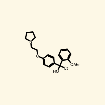 CCC(O)(c1ccc(OCCN2CCCC2)cc1)c1ccccc1OC